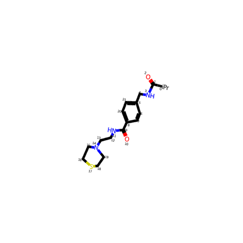 CC(C)C(=O)NCc1ccc(C(=O)NCCN2CCSCC2)cc1